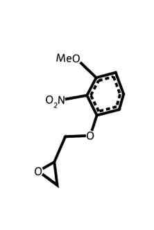 COc1cccc(OCC2CO2)c1[N+](=O)[O-]